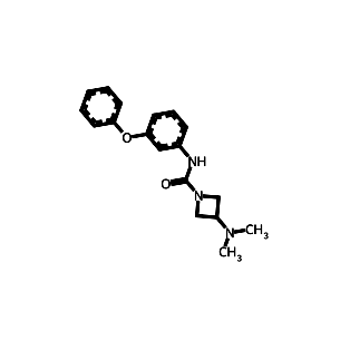 CN(C)C1CN(C(=O)Nc2cccc(Oc3ccccc3)c2)C1